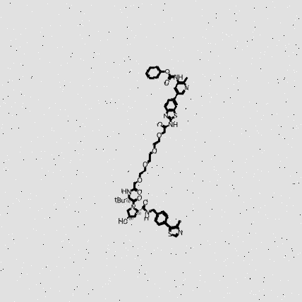 Cc1ncc(-c2ccc3nc(NC(=O)COCCOCCOCCOCC(=O)N[C@H](C(=O)N4C[C@H](O)C[C@H]4C(=O)NCc4ccc(-c5scnc5C)cc4)C(C)(C)C)sc3c2)cc1NC(=O)OC1CCCCC1